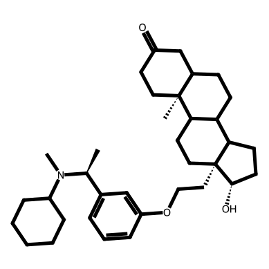 C[C@@H](c1cccc(OCC[C@]23CCC4C(CCC5CC(=O)CC[C@@]54C)C2CC[C@@H]3O)c1)N(C)C1CCCCC1